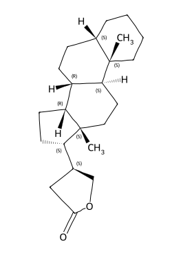 C[C@]12CCCC[C@H]1CC[C@H]1[C@H]3CC[C@@H]([C@H]4COC(=O)C4)[C@@]3(C)CC[C@@H]12